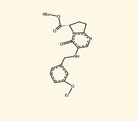 CCOc1cccc(CNc2cnc3n(c2=O)[C@H](C(=O)OC(C)(C)C)CC3)c1